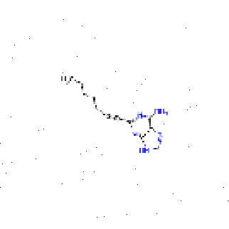 CCCCCC#Cc1nc(N)c2nc[nH]c2n1